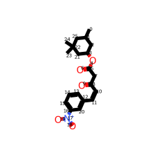 CC1CC(OC(=O)CC(=O)/C=C\c2cccc([N+](=O)[O-])c2)CC(C)(C)C1